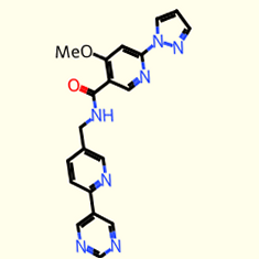 COc1cc(-n2cccn2)ncc1C(=O)NCc1ccc(-c2cncnc2)nc1